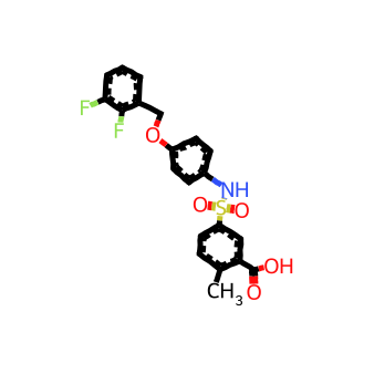 Cc1ccc(S(=O)(=O)Nc2ccc(OCc3cccc(F)c3F)cc2)cc1C(=O)O